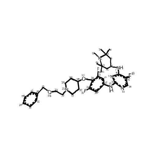 CN1C(C)(C)CC(Nc2nc(Nc3cc(F)c(OC4CCN(CCOCc5ccccc5)CC4)c(F)c3)ncc2F)CC1(C)C